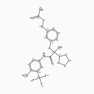 Nc1ccc(NC(=O)C(O)(Cc2cccc(OCC(=O)O)c2)C2CCCC2)cc1C(F)(F)F